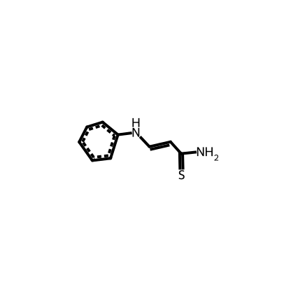 NC(=S)C=CNc1ccccc1